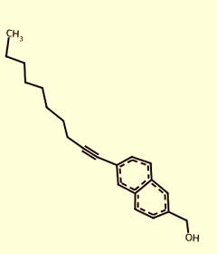 CCCCCCCCC#Cc1ccc2cc(CO)ccc2c1